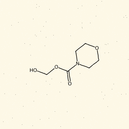 O=C(OCO)N1CCOCC1